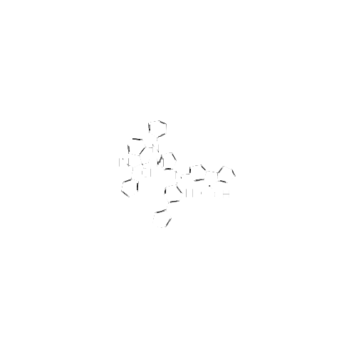 CC1(C)c2ccccc2-c2ccc(N(c3ccc(C4=CCCC=C4)cc3)c3ccc(-n4c5ccccc5c5ccc6c(c54)C(C)(C)C(c4ccccc4)N6)cc3)cc21